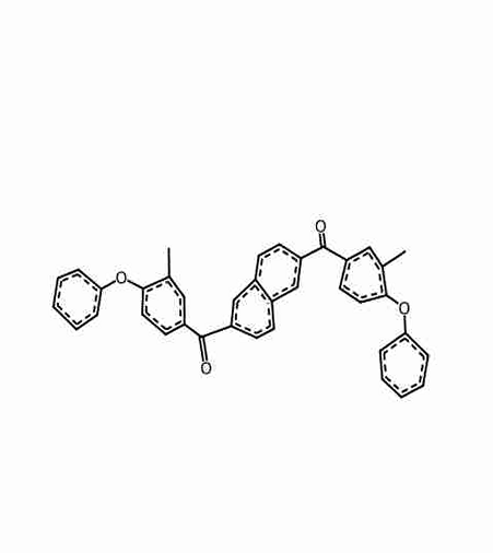 Cc1cc(C(=O)c2ccc3cc(C(=O)c4ccc(Oc5ccccc5)c(C)c4)ccc3c2)ccc1Oc1ccccc1